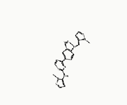 Cn1nccc1Cn1nnc2cc(-c3ccnc(Nc4ccnn4C)n3)ccc21